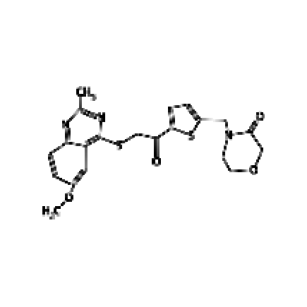 COc1ccc2nc(C)nc(SCC(=O)c3ccc(CN4CCOCC4=O)s3)c2c1